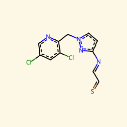 S=CC=Nc1ccn(Cc2ncc(Cl)cc2Cl)n1